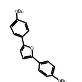 CCCCc1ccc(-c2ccc(-c3ccc(CCCC)cc3)o2)cc1